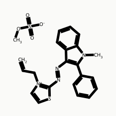 C=CC[n+]1ccsc1N=Nc1c(-c2ccccc2)n(C)c2ccccc12.COS(=O)(=O)[O-]